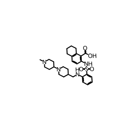 CN1CCC(N2CCC(CNc3ccccc3S(=O)(=O)Nc3ccc4c(c3C(=O)O)CCCC4)CC2)CC1